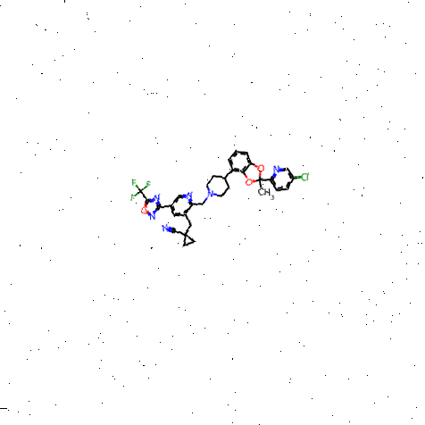 CC1(c2ccc(Cl)cn2)Oc2cccc(C3CCN(Cc4ncc(-c5noc(C(F)(F)F)n5)cc4CC4(C#N)CC4)CC3)c2O1